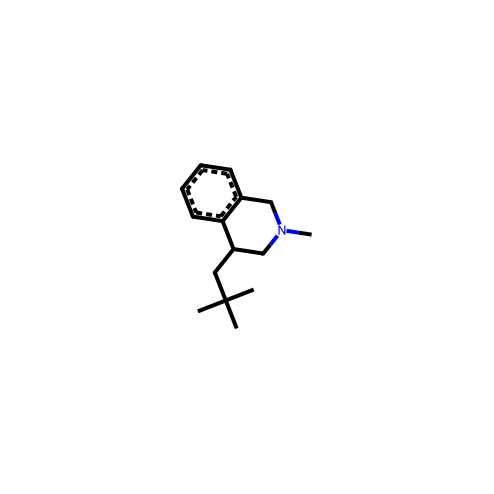 CN1Cc2ccccc2C(CC(C)(C)C)C1